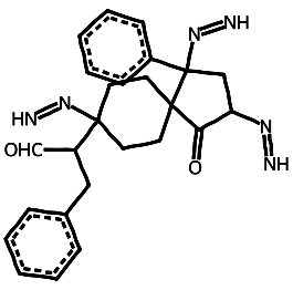 N=NC1CC(N=N)(c2ccccc2)C2(CCC(N=N)(C(C=O)Cc3ccccc3)CC2)C1=O